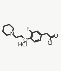 Cl.O=C(Cl)Cc1ccc(OCCN2CCCCC2)c(F)c1